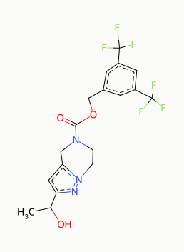 CC(O)c1cc2n(n1)CCN(C(=O)OCc1cc(C(F)(F)F)cc(C(F)(F)F)c1)C2